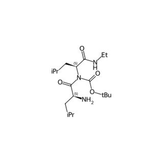 CCNC(=O)[C@H](CC(C)C)N(C(=O)OC(C)(C)C)C(=O)[C@@H](N)CC(C)C